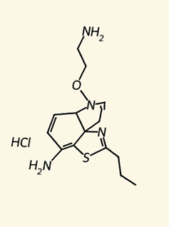 CCCC1=NC23CC=CN(OCCN)C2C=CC(N)=C3S1.Cl